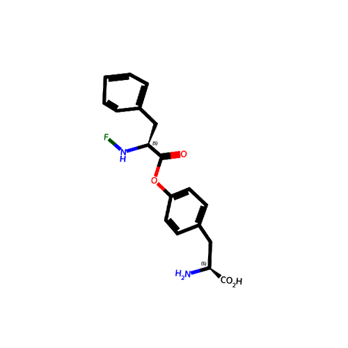 N[C@@H](Cc1ccc(OC(=O)[C@H](Cc2ccccc2)NF)cc1)C(=O)O